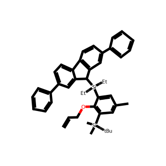 C=CCOc1c([Si](CC)(CC)C2c3cc(-c4ccccc4)ccc3-c3ccc(-c4ccccc4)cc32)cc(C)cc1[Si](C)(C)C(C)(C)C